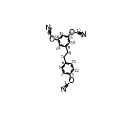 N#COc1ccc(CCc2cc(OC#N)cc(OC#N)c2)cc1